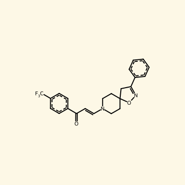 O=C(C=CN1CCC2(CC1)CC(c1ccccc1)=NO2)c1ccc(C(F)(F)F)cc1